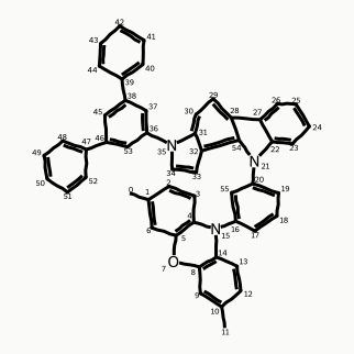 Cc1ccc2c(c1)Oc1cc(C)ccc1N2c1cccc(-n2c3ccccc3c3ccc4c(ccn4-c4cc(-c5ccccc5)cc(-c5ccccc5)c4)c32)c1